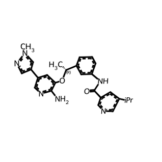 CC(C)c1cncc(C(=O)Nc2cccc([C@@H](C)Oc3cc(-c4cnn(C)c4)cnc3N)c2)c1